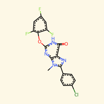 Cn1c(-c2ccc(Cl)cc2)nc2c(=O)[nH]c(Oc3c(F)cc(F)cc3F)nc21